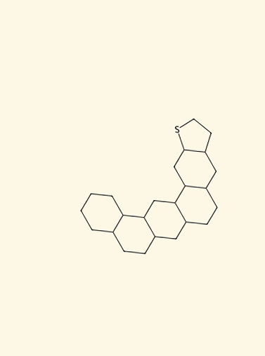 C1CCC2C(C1)CCC1CC3CCC4CC5CCSC5CC4C3CC12